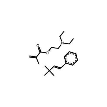 C=C(C)C(=O)OCCN(CC)CC.CC(C)(C)C=Cc1ccccc1